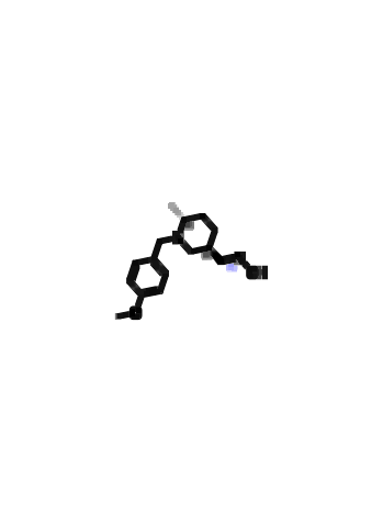 COc1ccc(CN2C[C@H](/C=N/O)CC[C@H]2C)cc1